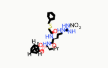 CC(C)C[C@H](NC(=O)[C@H](CCCNC(=N)N[N+](=O)[O-])NC(=O)CSCc1ccccc1)B1O[C@@H]2C[C@@H]3C[C@@H](C3(C)C)[C@]2(C)O1